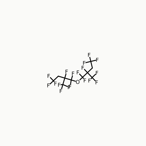 FC(F)(F)CC(F)(C(F)(F)F)C(F)(F)OC(F)(F)C(F)(CC(F)(F)F)C(F)(F)F